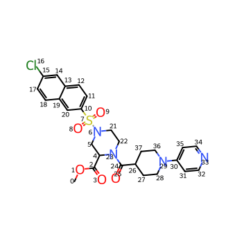 COC(=O)C1CN(S(=O)(=O)c2ccc3cc(Cl)ccc3c2)CCN1C(=O)C1CCN(c2ccncc2)CC1